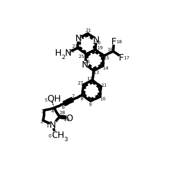 CN1CC[C@@](O)(C#Cc2cccc(-c3cc(C(F)F)c4ncnc(N)c4n3)c2)C1=O